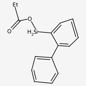 CCC(=O)O[SiH2]c1ccccc1-c1ccccc1